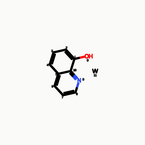 Oc1cccc2cccnc12.[W]